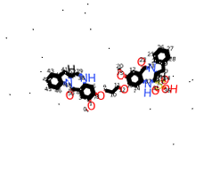 COc1cc2c(cc1OCCCOc1cc3c(cc1OC)C(=O)N1c4ccccc4C[C@H]1C(S(=O)(=O)O)N3)NC[C@@H]1Cc3ccccc3N1C2=O